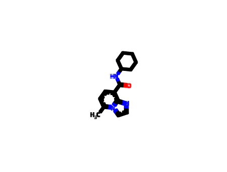 Cc1ccc(C(=O)NC2CCCCC2)c2nccn12